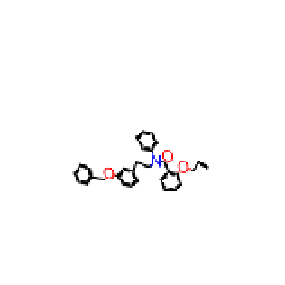 C=CCOc1ccccc1C(=O)N(CCc1cccc(OCc2ccccc2)c1)c1ccccc1